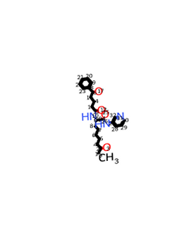 CCC(=O)CCCCC[C@H](NC(=O)CCCC(=O)c1ccccc1)C(=O)Nc1cccnc1